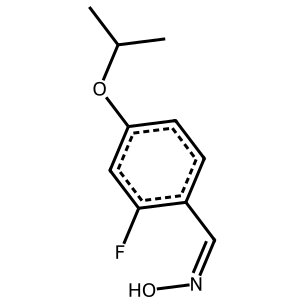 CC(C)Oc1ccc(/C=N\O)c(F)c1